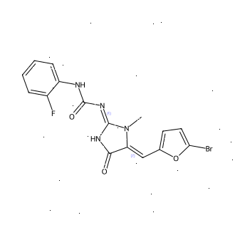 CN1/C(=C\c2ccc(Br)o2)C(=O)N/C1=N\C(=O)Nc1ccccc1F